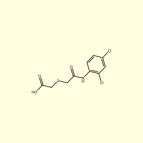 O=C(O)CSCC(=O)Nc1ccc(Cl)cc1Cl